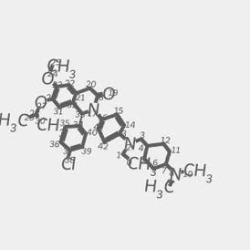 CCN(CC1CCC(N(C)C)CC1)c1ccc(N2C(=O)Cc3cc(OC)c(OC(C)C)cc3[C@@H]2c2ccc(Cl)cc2)cc1